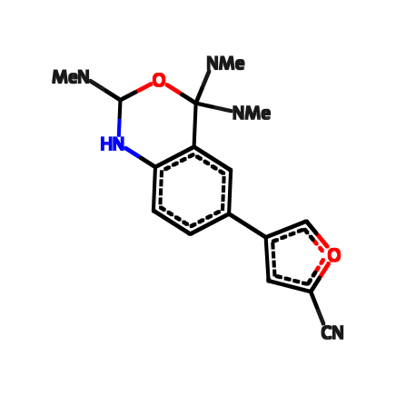 CNC1Nc2ccc(-c3coc(C#N)c3)cc2C(NC)(NC)O1